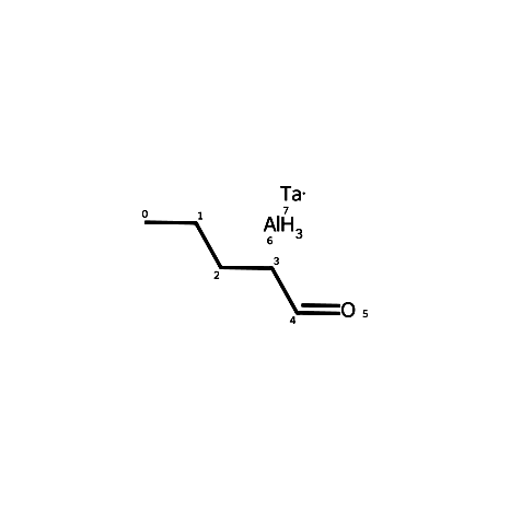 CCCCC=O.[AlH3].[Ta]